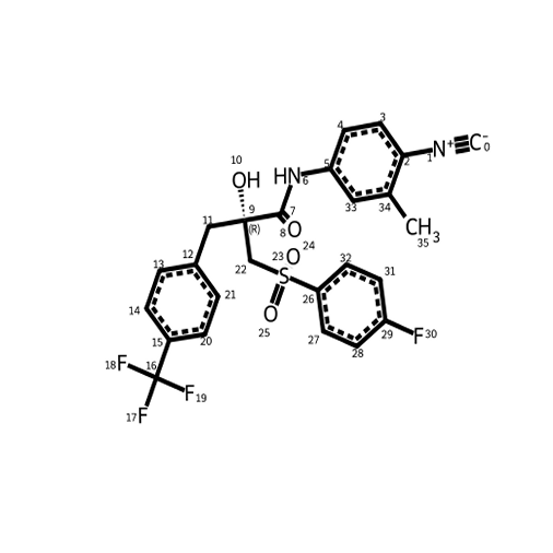 [C-]#[N+]c1ccc(NC(=O)[C@](O)(Cc2ccc(C(F)(F)F)cc2)CS(=O)(=O)c2ccc(F)cc2)cc1C